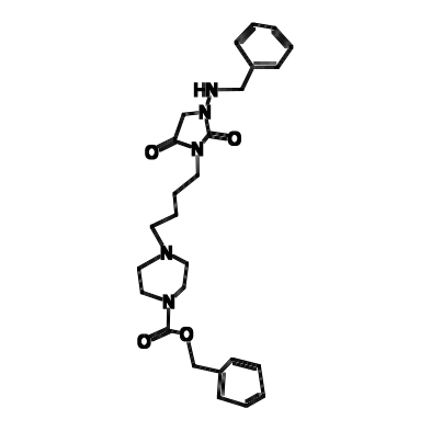 O=C(OCc1ccccc1)N1CCN(CCCCN2C(=O)CN(NCc3ccccc3)C2=O)CC1